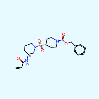 C=CC(=O)N[C@H]1CCCN(S(=O)(=O)C2CCN(C(=O)OCc3ccccc3)CC2)C1